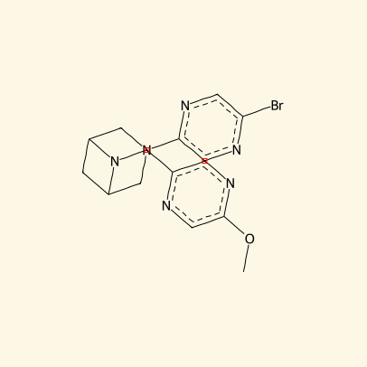 COc1cnc(CN2C3CC2CN(c2cnc(Br)cn2)C3)cn1